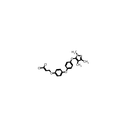 Cc1nn(C)c(Oc2ccc(Oc3ccc(OCC=C(Cl)Cl)cc3)cc2)c1C